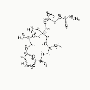 C=CC(=O)OCC(C)OCC(CC)(COC(C)COC(=O)C=C)COC(C)COC(=O)C=C